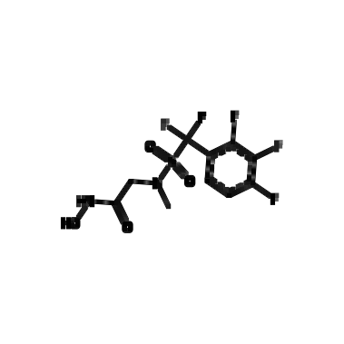 CN(CC(=O)NO)S(=O)(=O)C(F)(F)c1ccc(F)c(F)c1F